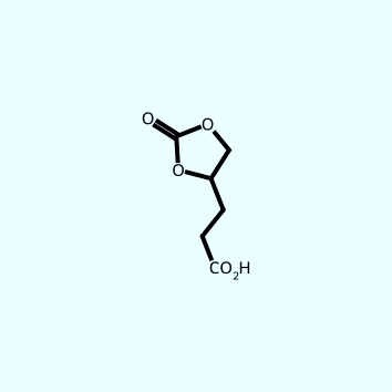 O=C(O)CCC1COC(=O)O1